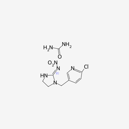 NC(N)=O.O=[N+]([O-])/N=C1\NCCN1Cc1ccc(Cl)nc1